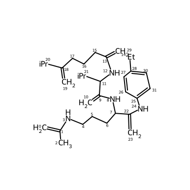 C=C(C)NCCCC(NC(=C)C(NC(=C)CCCC(=C)C(C)C)C(C)C)C(=C)Nc1ccc(CC)cc1